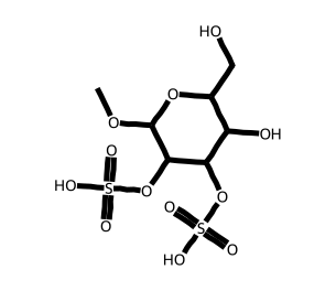 COC1OC(CO)C(O)C(OS(=O)(=O)O)C1OS(=O)(=O)O